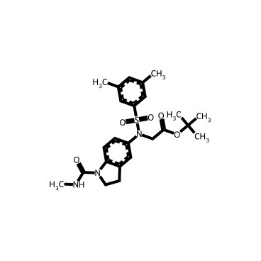 CNC(=O)N1CCc2cc(N(CC(=O)OC(C)(C)C)S(=O)(=O)c3cc(C)cc(C)c3)ccc21